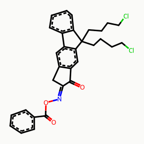 O=C(O/N=C1\Cc2cc3c(cc2C1=O)C(CCCCCl)(CCCCCl)c1ccccc1-3)c1ccccc1